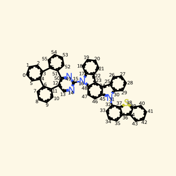 c1ccc2c(c1)-c1ccccc1-c1cnc(-n3c4ccccc4c4c5c6ccccc6n(-c6cccc7c6sc6ccccc67)c5ccc43)nc1-c1ccccc1-2